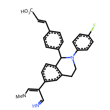 CN/C=C(\C=N)c1ccc2c(c1)CCN(c1ccc(F)cc1)C2c1ccc(/C=C/C(=O)O)cc1